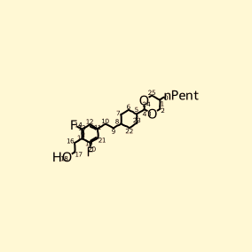 CCCCCC1COC(C2CCC(CCc3cc(F)c(CCO)c(F)c3)CC2)OC1